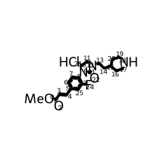 COC(=O)C=Cc1ccc(N2CCN(CCC3CCNCC3)C2=O)c(F)c1.Cl